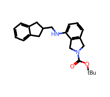 CC(C)(C)OC(=O)N1Cc2cccc(NCC3Cc4ccccc4C3)c2C1